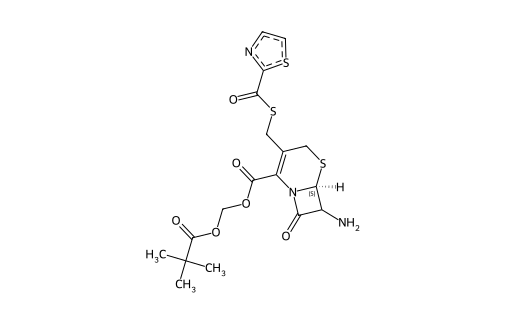 CC(C)(C)C(=O)OCOC(=O)C1=C(CSC(=O)c2nccs2)CS[C@H]2C(N)C(=O)N12